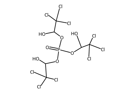 O=P(OC(O)C(Cl)(Cl)Cl)(OC(O)C(Cl)(Cl)Cl)OC(O)C(Cl)(Cl)Cl